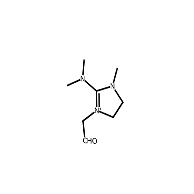 CN(C)C1=[N+](CC=O)CCN1C